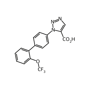 O=C(O)c1cnnn1-c1ccc(-c2ccccc2OC(F)(F)F)cc1